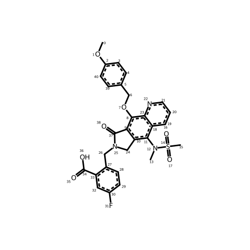 COc1ccc(COc2c3c(c(N(C)S(C)(=O)=O)c4cccnc24)CN(Cc2ccc(F)cc2C(=O)O)C3=O)cc1